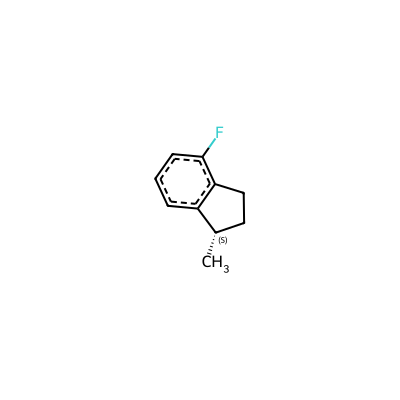 C[C@H]1CCc2c(F)cccc21